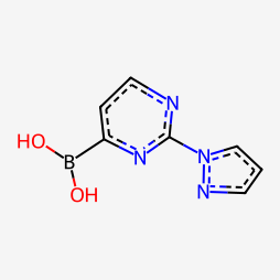 OB(O)c1ccnc(-n2cccn2)n1